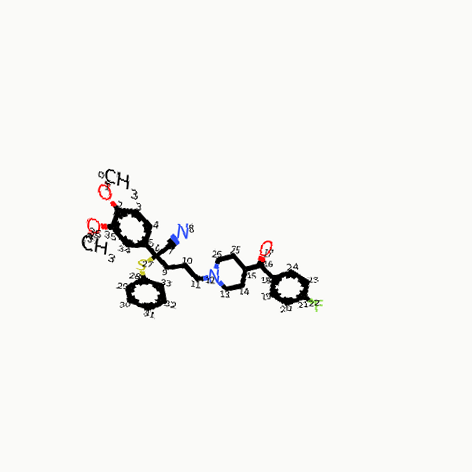 COc1ccc(C(C#N)(CCCN2CCC(C(=O)c3ccc(F)cc3)CC2)Sc2ccccc2)cc1OC